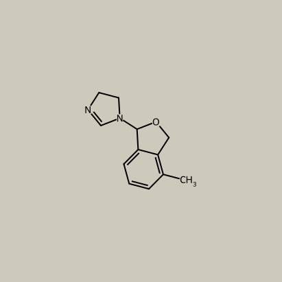 Cc1cccc2c1COC2N1C=NCC1